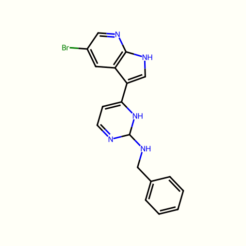 Brc1cnc2[nH]cc(C3=CC=NC(NCc4ccccc4)N3)c2c1